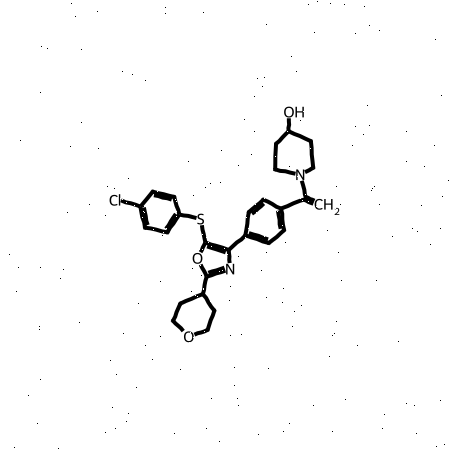 C=C(c1ccc(-c2nc(C3CCOCC3)oc2Sc2ccc(Cl)cc2)cc1)N1CCC(O)CC1